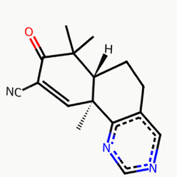 CC1(C)C(=O)C(C#N)=C[C@]2(C)c3ncncc3CC[C@@H]12